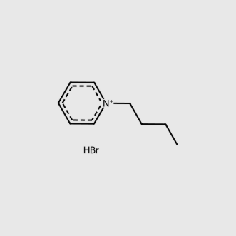 Br.CCCC[n+]1ccccc1